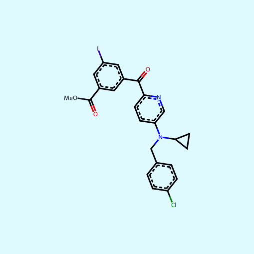 COC(=O)c1cc(I)cc(C(=O)c2ccc(N(Cc3ccc(Cl)cc3)C3CC3)cn2)c1